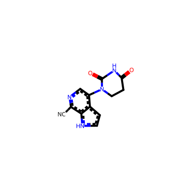 N#Cc1ncc(N2CCC(=O)NC2=O)c2cc[nH]c12